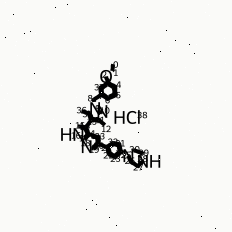 CCOc1cccc(Cn2nc(C)c(-c3c[nH]c4ncc(-c5ccc(N6CCNCC6)cc5)cc34)c2C)c1.Cl